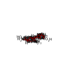 CSCCC(NC(=O)C(NC(=O)C(NC(=O)C(CCCCN)NC(=O)C(CCCNC(=N)N)NC(=O)C(C)NC(=O)C(CCCCN)NC(=O)CNC(=O)C(CC(C)C)NC(=O)C(CC(C)C)NC(=O)C(CO)NC(=O)C(CC(C)C)NC(=O)C(N)CC(=O)O)C(C)C)C(C)C)C(=O)NC(C(=O)NC(CCCCN)C(=O)NC(CC(=O)O)C(=O)O)C(C)O